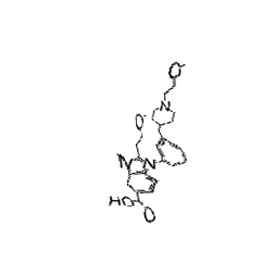 COCCc1nc2cc(C(=O)O)ccc2n1-c1cccc(C2CCN(CCOC)CC2)c1